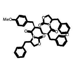 COc1ccc(C[C@@H](CC[C@H](Cc2cccc(Cl)c2)C(=O)N2C(=O)OCC2Cc2ccccc2)C(=O)N2C(=O)OCC2Cc2ccccc2)cc1